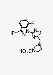 CC(C)c1nn(-c2noc(C[C@@H]3CCN(C(=O)O)C3)n2)c2c(F)cccc12